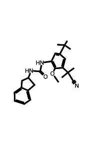 COc1c(NC(=O)NC2Cc3ccccc3C2)cc(C(C)(C)C)cc1C(C)(C)C#N